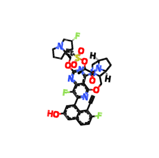 C#Cc1c(F)ccc2cc(O)cc(-c3nc4c5c(nc(OC[C@@]67CCCN6C[C@H](F)C7)nc5c3F)N3C[C@H]5CC[C@@H](C3CO4)N5C(=O)[C@@H](C)OS(=O)(=O)CC)c12